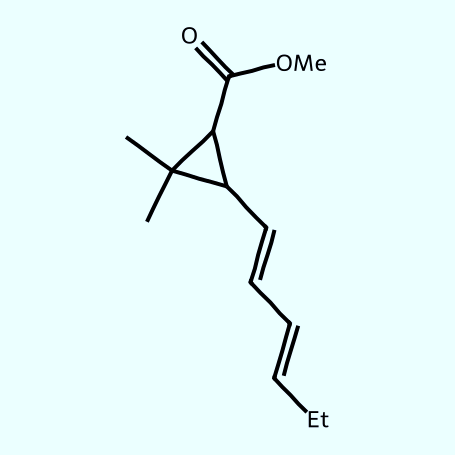 CCC=CC=CC1C(C(=O)OC)C1(C)C